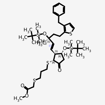 COC(=O)CSCCCS[C@H]1C(=O)C[C@@H](O[Si](C)(C)C(C)(C)C)[C@@H]1/C=C/[C@](C)(CCc1sccc1Cc1ccccc1)O[Si](C)(C)C(C)(C)C